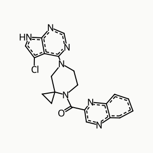 O=C(c1cnc2ccccc2n1)N1CCN(c2ncnc3[nH]cc(Cl)c23)CC12CC2